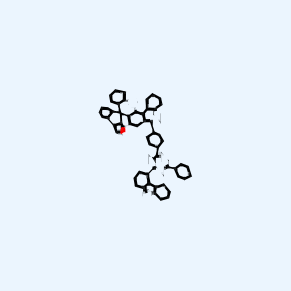 c1ccc(-c2nc(-c3ccc(-c4nc5ccccc5c5c6c(ccc45)C4(c5ccccc5O6)c5ccccc5-c5ccccc54)cc3)nc(-c3cccc4oc5ccccc5c34)n2)cc1